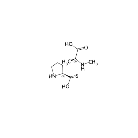 CN[C@@H](C)C(=O)O.OC(=S)[C@@H]1CCCN1